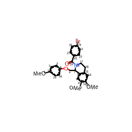 COc1ccc(OCC2c3cc(OC)c(OC)cc3CCN2C(=O)c2ccc(Br)cc2)cc1